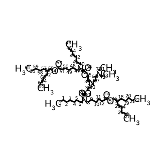 CCCCCCCN(CCCCCC(=O)OCC(CCCCC)CCCCC)C(=O)OCCN(CCOC(=O)N(CCCCCCC)CCCCCC(=O)OCC(CCCCC)CCCCC)CCN(CC)CC